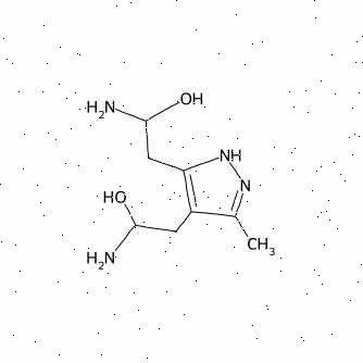 Cc1n[nH]c(CC(N)O)c1CC(N)O